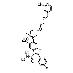 CCN(CC)C(=O)c1c(-c2ccc(F)cc2)oc2cc(N(CCOCCOCc3ccnc(Cl)c3)S(C)(=O)=O)c(C3CC3)cc12